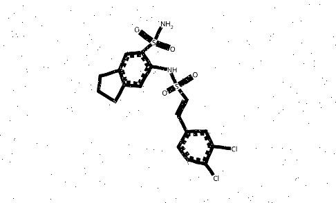 NS(=O)(=O)c1cc2c(cc1NS(=O)(=O)C=Cc1ccc(Cl)c(Cl)c1)CCC2